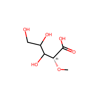 CO[C@@H](C(=O)O)C(O)C(O)CO